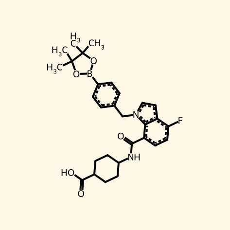 CC1(C)OB(c2ccc(Cn3ccc4c(F)ccc(C(=O)NC5CCC(C(=O)O)CC5)c43)cc2)OC1(C)C